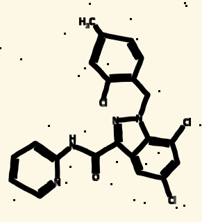 Cc1ccc(Cn2nc(C(=O)Nc3ccccn3)c3cc(Cl)cc(Cl)c32)c(Cl)c1